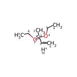 C=C[Si](C)(OCC)OCC.[H+]